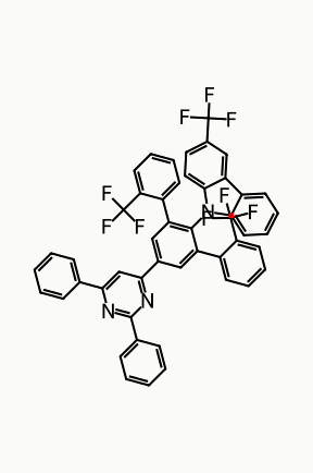 FC(F)(F)c1ccc2c(c1)c1ccccc1n2-c1c(-c2ccccc2C(F)(F)F)cc(-c2cc(-c3ccccc3)nc(-c3ccccc3)n2)cc1-c1ccccc1C(F)(F)F